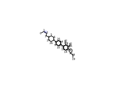 C/C=C\CC1CCC(c2ccc(-c3ccc(OCCC)c(F)c3F)cc2)CC1